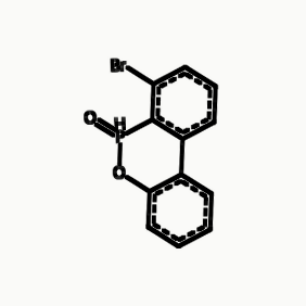 O=[PH]1Oc2ccccc2-c2cccc(Br)c21